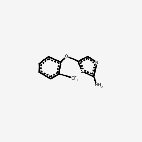 Nc1ncc(Oc2ccccc2C(F)(F)F)s1